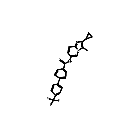 Cc1c(C2CC2)nc2ccc(NC(=O)c3ccc(-c4ccc(C(F)(F)F)cc4)cc3)cn12